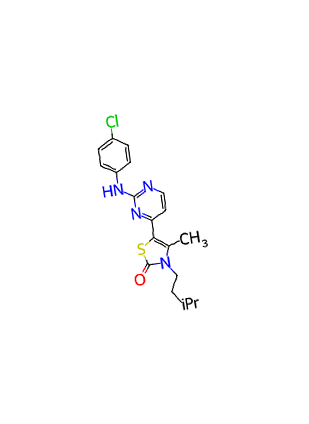 Cc1c(-c2ccnc(Nc3ccc(Cl)cc3)n2)sc(=O)n1CCC(C)C